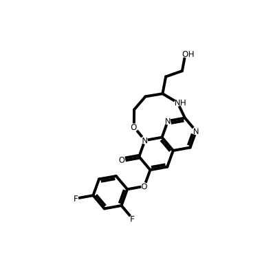 O=c1c(Oc2ccc(F)cc2F)cc2cnc3nc2n1OCCC(CCO)N3